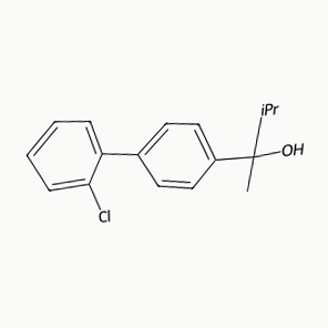 CC(C)C(C)(O)c1ccc(-c2ccccc2Cl)cc1